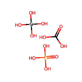 O=C(O)O.O=P(O)(O)O.O[Si](O)(O)O